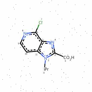 CC(C)n1c(C(=O)O)nc2c(Cl)nccc21